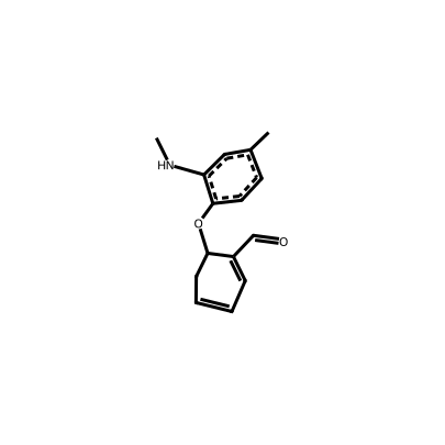 CNc1cc(C)ccc1OC1CC=CC=C1C=O